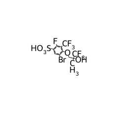 CC(O)(COc1c(Br)cc(S(=O)(=O)O)c(F)c1C(F)(F)F)C(F)(F)F